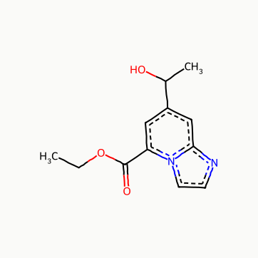 CCOC(=O)c1cc(C(C)O)cc2nccn12